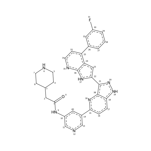 O=C(CC1CCNCC1)Nc1cncc(-c2ccc3[nH]nc(-c4cc5c(-c6cccc(F)c6)ccnc5[nH]4)c3n2)c1